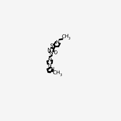 CCCN1CCc2c(sc3ncn(CCN4CCN(c5cccc(C)n5)CC4)c(=O)c23)C1